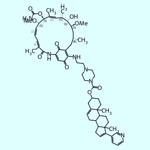 CO[C@H]1/C=C\C=C(/C)C(=O)NC2=CC(=O)C(NCCN3CCN(C(=O)OC4CCC5(C)C(=CCC6C5CCC5(C)C(c7cccnc7)=CCC65)C4)CC3)=C(C[C@@H](C)C[C@H](OC)[C@@H](O)[C@@H](C)/C=C(\C)[C@@H]1OC(N)=O)C2=O